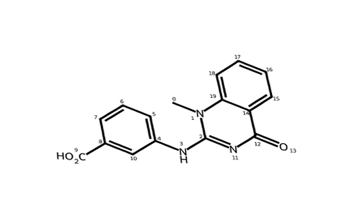 Cn1c(Nc2cccc(C(=O)O)c2)nc(=O)c2ccccc21